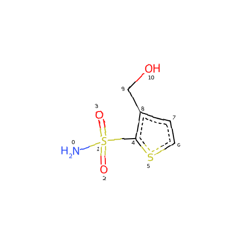 NS(=O)(=O)c1sccc1CO